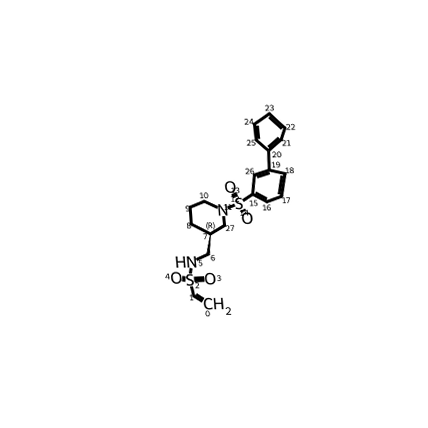 C=CS(=O)(=O)NC[C@H]1CCCN(S(=O)(=O)c2cccc(-c3ccccc3)c2)C1